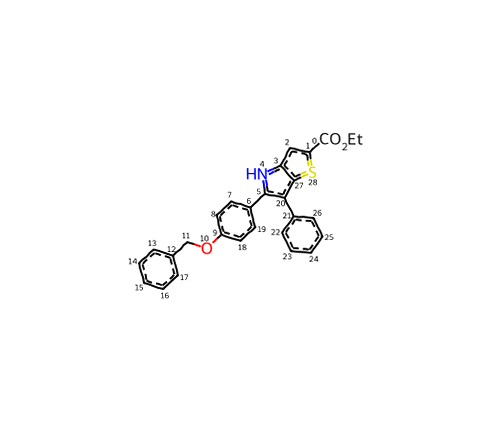 CCOC(=O)c1cc2[nH]c(-c3ccc(OCc4ccccc4)cc3)c(-c3ccccc3)c2s1